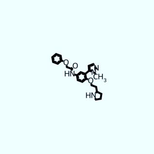 Cn1nccc1-c1cc(NC(=O)COc2ccccc2)ccc1OCCC1CCCN1